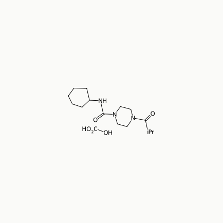 CC(C)C(=O)N1CCN(C(=O)NC2CCCCC2)CC1.O=C(O)O